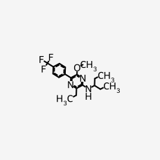 CCc1nc(-c2ccc(C(F)(F)F)cc2)c(OC)nc1NC(CC)CC